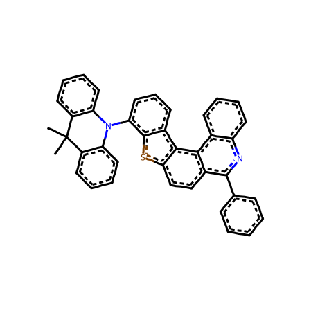 CC1(C)c2ccccc2N(c2cccc3c2sc2ccc4c(-c5ccccc5)nc5ccccc5c4c23)c2ccccc21